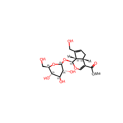 COC(=O)C1=CO[C@@H](O[C@@H]2O[C@H](CO)[C@@H](O)[C@H](O)[C@H]2O)[C@@H]2C(CO)=CC[C@H]12